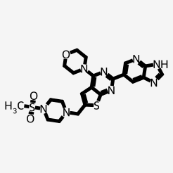 CS(=O)(=O)N1CCN(Cc2cc3c(N4CCOCC4)nc(-c4cnc5[nH]cnc5c4)nc3s2)CC1